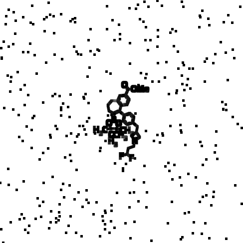 COC(=O)c1ccc2c(c1)CCCC(B1OC(C)(C)C(C)(C)O1)=C2c1ccc(CC2CN(CCC(F)F)C2)cc1